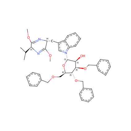 COC1=N[C@H](Cc2cn([C@H]3O[C@H](COCc4ccccc4)[C@@H](OCc4ccccc4)[C@H](OCc4ccccc4)[C@@H]3O)c3ccccc23)C(OC)=N[C@H]1C(C)C